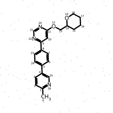 Cc1ccc(-c2ccc(-c3cc(OCC4CCCCO4)ncn3)cc2)cn1